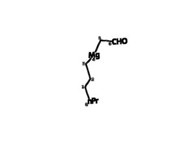 CCCCC[CH2][Mg][CH2]C=O